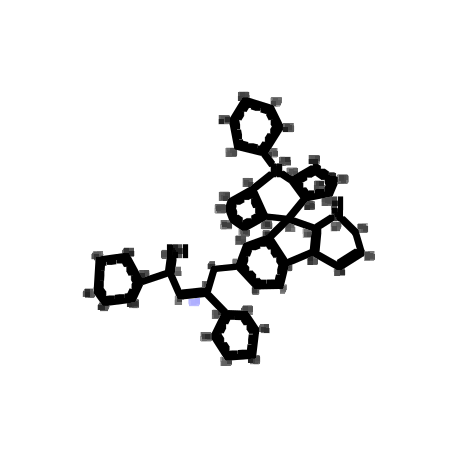 N=C(/C=C(\Cc1ccc2c(c1)C1(C3=C2C=CCN3)c2ccccc2N(c2ccccc2)c2ccccc21)c1ccccc1)c1ccccc1